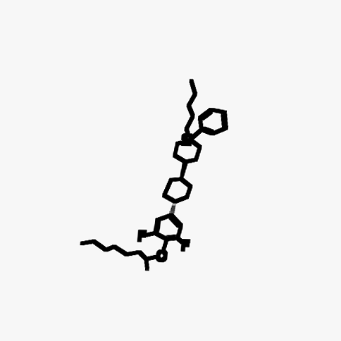 CCCCCCC(C)Oc1c(F)cc([C@H]2CC[C@H](C3CC[Si](CCCCC)(c4ccccc4)CC3)CC2)cc1F